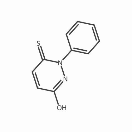 Oc1ccc(=S)n(-c2ccccc2)n1